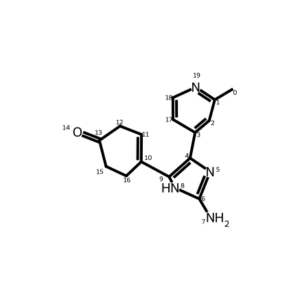 Cc1cc(-c2nc(N)[nH]c2C2=CCC(=O)CC2)ccn1